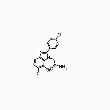 NC(=O)Cn1c(-c2ccc(Cl)cc2)nc2cnc(Cl)c(Br)c21